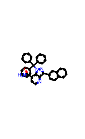 NC(=O)c1c[c]nc2c(-c3ccc4ccccc4c3)nn(C(c3ccccc3)(c3ccccc3)c3ccccc3)c12